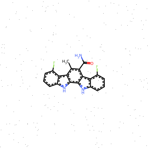 Cc1c(C(N)=O)c2c([nH]c3cccc(F)c32)c2[nH]c3cccc(F)c3c12